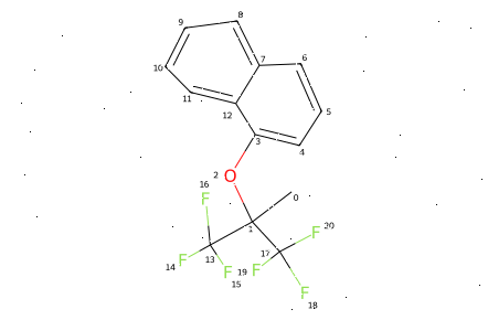 CC(Oc1cccc2ccccc12)(C(F)(F)F)C(F)(F)F